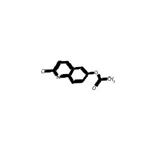 CC(=O)Oc1ccc2nc(Cl)ccc2c1